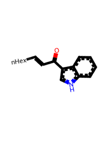 CCCCCC/C=C/C(=O)c1c[nH]c2ccccc12